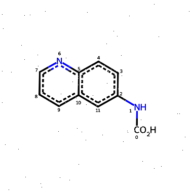 O=C(O)Nc1ccc2ncccc2c1